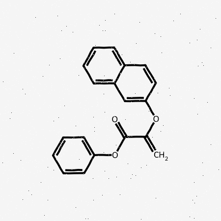 C=C(Oc1ccc2ccccc2c1)C(=O)Oc1ccccc1